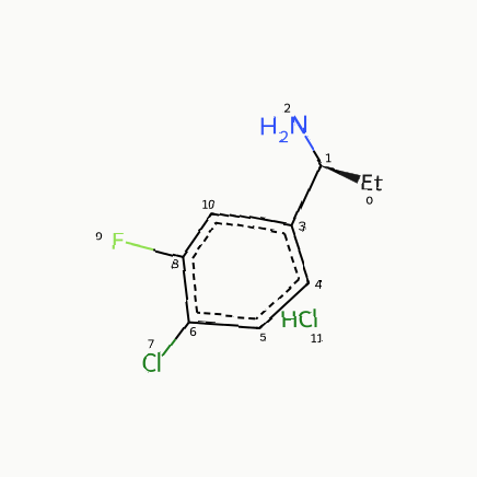 CC[C@H](N)c1ccc(Cl)c(F)c1.Cl